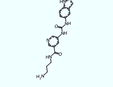 NCCCNC(=O)c1cncc(NC(=O)Nc2ccc3[nH]ncc3c2)c1